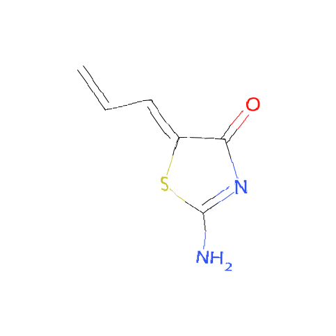 C=CC=C1SC(N)=NC1=O